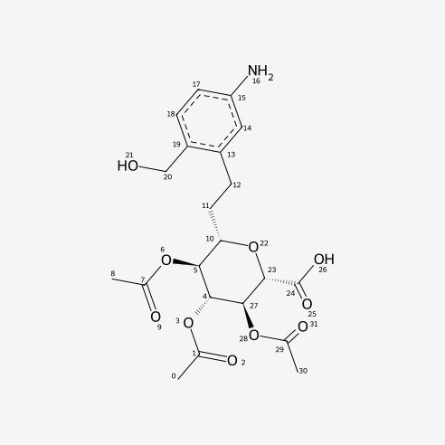 CC(=O)O[C@@H]1[C@@H](OC(C)=O)[C@H](CCc2cc(N)ccc2CO)O[C@H](C(=O)O)[C@H]1OC(C)=O